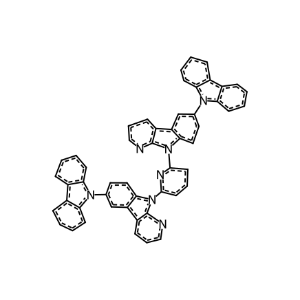 c1cc(-n2c3ccc(-n4c5ccccc5c5ccccc54)cc3c3cccnc32)nc(-n2c3ccc(-n4c5ccccc5c5ccccc54)cc3c3cccnc32)c1